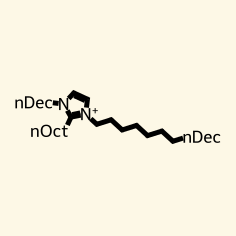 CCCCCCCCCCCCCCCCC[n+]1ccn(CCCCCCCCCC)c1CCCCCCCC